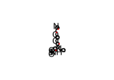 Cc1c(NS(C)(=O)=O)cccc1N(Cc1ccccc1)Cc1ccc(Oc2cccc(OCCc3cccnc3)c2)cc1